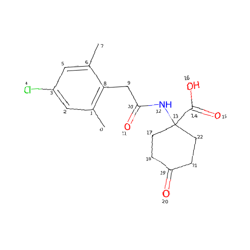 Cc1cc(Cl)cc(C)c1CC(=O)NC1(C(=O)O)CCC(=O)CC1